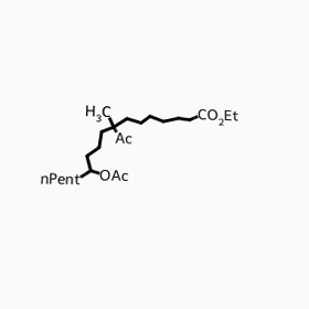 CCCCCC(CCCC(C)(CCCCCCC(=O)OCC)C(C)=O)OC(C)=O